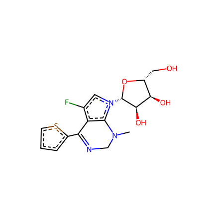 CN1CN=C(c2cccs2)c2c(F)cn([C@@H]3O[C@H](CO)[C@@H](O)[C@H]3O)c21